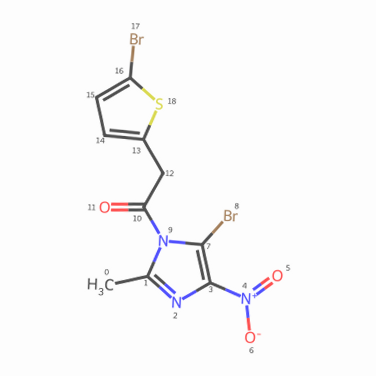 Cc1nc([N+](=O)[O-])c(Br)n1C(=O)Cc1ccc(Br)s1